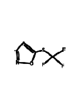 FC(F)(F)Sc1c[c]no1